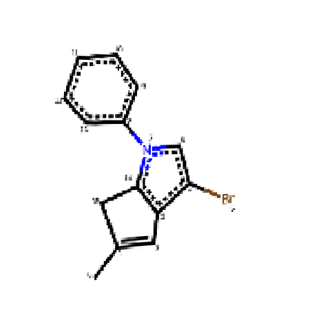 CC1=Cc2c(Br)cn(-c3ccccc3)c2C1